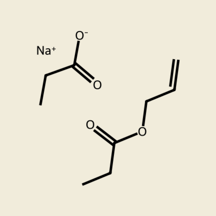 C=CCOC(=O)CC.CCC(=O)[O-].[Na+]